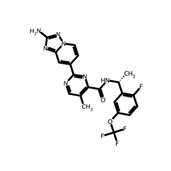 Cc1cnc(-c2ccn3nc(N)nc3c2)nc1C(=O)N[C@H](C)c1cc(OC(F)(F)F)ccc1F